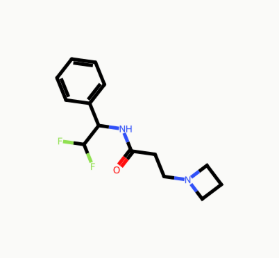 O=C(CCN1CCC1)NC(c1ccccc1)C(F)F